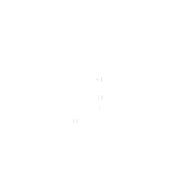 C=CC.OCCO.OCCO